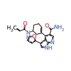 C=CC(=O)NC1CCC=C(c2c(C(N)=O)cnc3[nH]cc(-c4ccco4)c23)C1